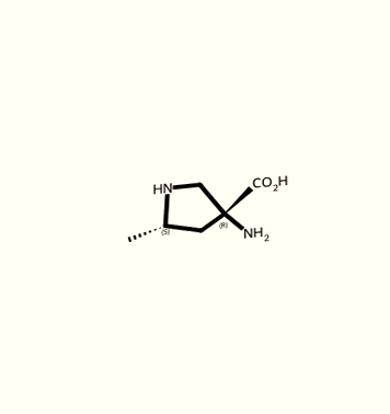 C[C@H]1C[C@](N)(C(=O)O)CN1